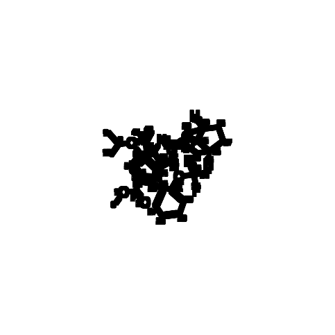 COC(=O)c1cc(OC(C)C)c2nc(O[C@@H]3[C@@H]4CC[C@H]3C[C@@H](OCc3c(-c5ccccc5OC(F)(F)F)noc3C3CC3)C4)sc2c1